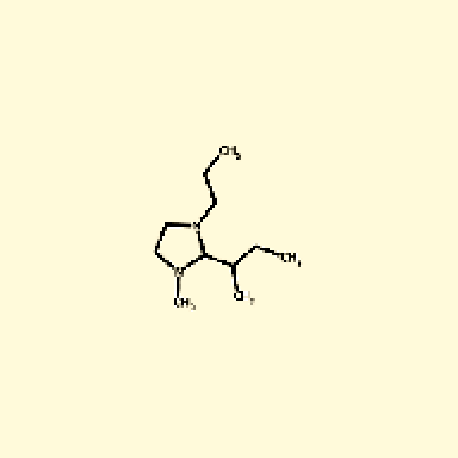 CCCN1CCN(C)C1C(C)CC